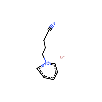 N#CCCC[n+]1ccccc1.[Br-]